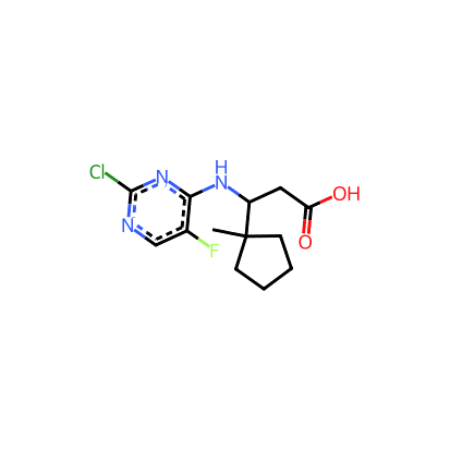 CC1(C(CC(=O)O)Nc2nc(Cl)ncc2F)CCCC1